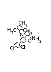 Cc1cc(C)c(Cn2c3cc(-c4ccc(Cl)cc4Cl)ccc3c3c(C(N)=O)cccc32)c(C)c1